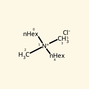 CCCCCC[N+](C)(C)CCCCCC.[Cl-]